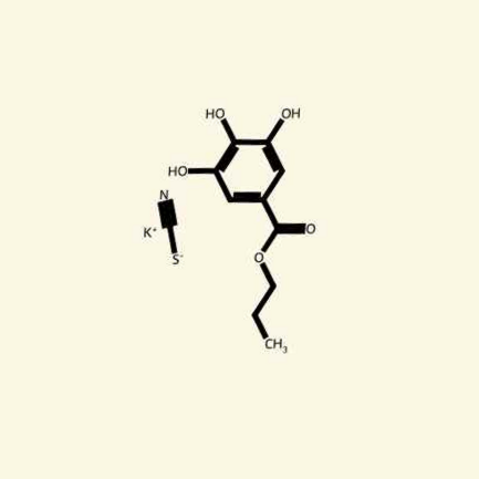 CCCOC(=O)c1cc(O)c(O)c(O)c1.N#C[S-].[K+]